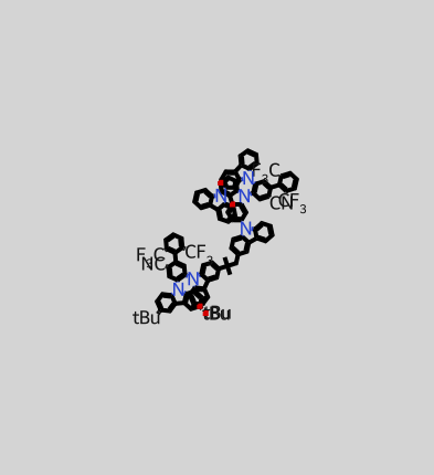 CC(C)(C)c1ccc2c(c1)c1cc(C(C)(C)C)ccc1n2-c1cc(C#N)c(-c2c(C(F)(F)F)cccc2C(F)(F)F)cc1-n1c2ccc(C(C)(C)C)cc2c2cc(C(C)(C)Cc3ccc4c(c3)c3ccccc3n4-c3ccc4c5ccccc5n(-c5cc(C#N)c(-c6c(C(F)(F)F)cccc6C(F)(F)F)cc5-n5c6ccccc6c6ccc(-n7c8ccccc8c8ccccc87)cc65)c4c3)ccc21